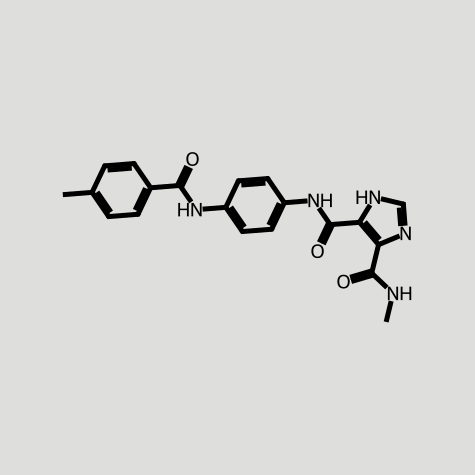 CNC(=O)c1nc[nH]c1C(=O)Nc1ccc(NC(=O)c2ccc(C)cc2)cc1